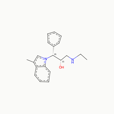 CCNC[C@H](O)[C@@H](c1ccccc1)n1cc(C)c2ccccc21